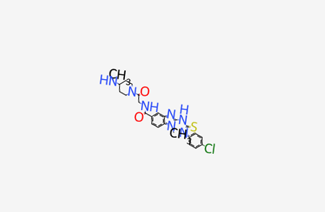 CNC1CCN(C(=O)CNC(=O)c2ccc3c(c2)nc(Nc2nc4ccc(Cl)cc4s2)n3C)CC1